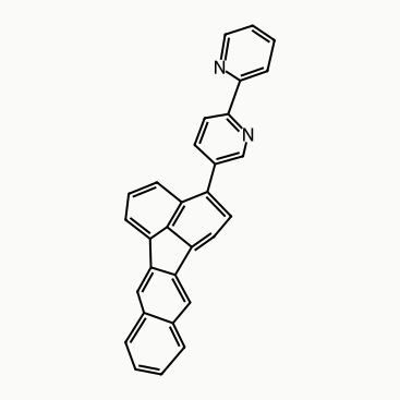 c1ccc(-c2ccc(-c3ccc4c5c(cccc35)-c3cc5ccccc5cc3-4)cn2)nc1